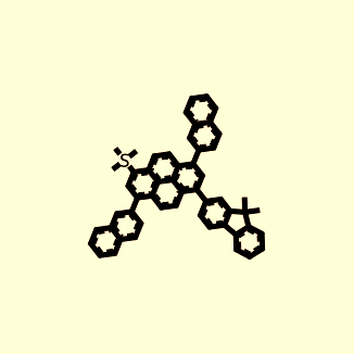 CC1(C)c2ccccc2-c2ccc(-c3cc(-c4ccc5ccccc5c4)c4ccc5c(S(C)(C)C)cc(-c6ccc7ccccc7c6)c6ccc3c4c65)cc21